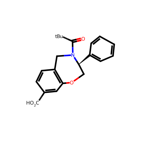 CC(C)(C)C(=O)N1Cc2ccc(C(=O)O)cc2OC[C@@H]1c1ccccc1